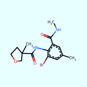 CNC(=O)c1cc(C)cc(Br)c1NC(=O)C1(C)CCOC1